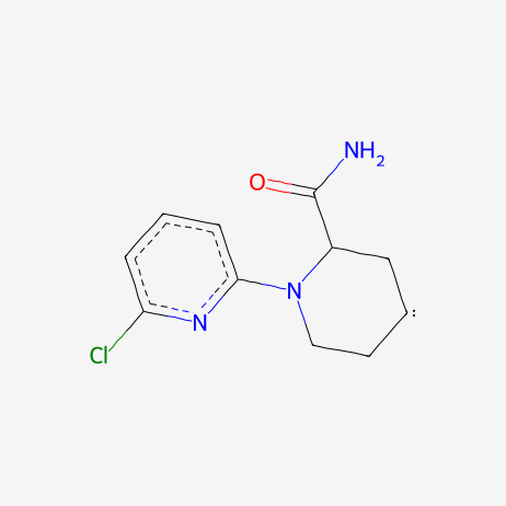 NC(=O)C1C[C]CCN1c1cccc(Cl)n1